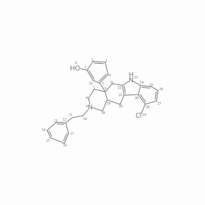 Oc1cccc(C23CCN(CCc4ccccc4)CC2Cc2c([nH]c4cccc(Cl)c24)C3)c1